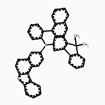 CC1(C)c2ccccc2-c2cc(N(c3ccc4c(ccc5sc6ccccc6c54)c3)c3ccccc3-c3cccc4ccccc34)ccc21